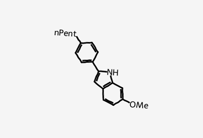 CCCCCc1ccc(-c2cc3ccc(OC)cc3[nH]2)cc1